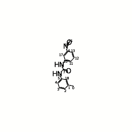 Cc1cccc(NC(=O)Nc2cccc(N=O)c2)c1